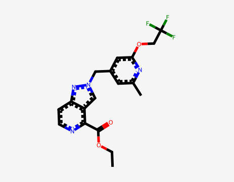 CCOC(=O)c1nccc2nn(Cc3cc(C)nc(OCC(F)(F)F)c3)cc12